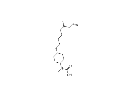 C=CCN(C)CCCCOC1CCC(N(C)C(=O)O)CC1